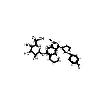 Cn1nc([C@H]2CCN(c3ccc(F)cc3)C2)c2c3c(c(OC4OC(C(=O)O)C(O)C(O)C4O)nc21)CCCC3